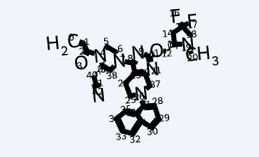 C=CC(=O)N1CCN(c2nc(OC[C@@H]3CC(F)(F)CN3C)nc3c2CCN(c2cccc4ccccc24)C3)C[C@@H]1CC#N